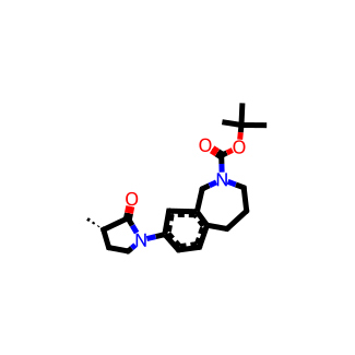 C[C@H]1CCN(c2ccc3c(c2)CN(C(=O)OC(C)(C)C)CCC3)C1=O